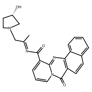 C/C(CN1CC[C@H](O)C1)=N\C(=O)c1cccn2c(=O)c3ccc4ccccc4c3nc12